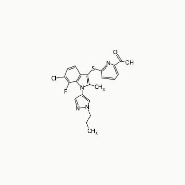 CCCn1cc(-n2c(C)c(Sc3cccc(C(=O)O)n3)c3ccc(Cl)c(F)c32)cn1